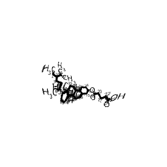 CCC(CCC(C)[C@H]1CC[C@H]2[C@@H]3CC=C4C[C@@H](OC(=O)CCCC(=O)O)CC[C@]4(C)[C@H]3CC[C@]12C)C(C)C